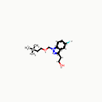 C[Si](C)(C)CCOCn1nc(CCO)c2cc(F)ccc21